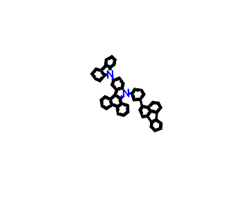 c1cc(-c2ccc3c4c(cccc24)-c2ccccc2-3)cc(-n2c3ccc(-n4c5ccccc5c5ccccc54)cc3c3c4ccccc4c4ccccc4c32)c1